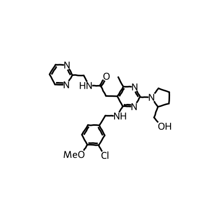 COc1ccc(CNc2nc(N3CCCC3CO)nc(C)c2CC(=O)NCc2ncccn2)cc1Cl